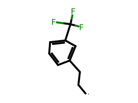 [CH2]CCc1cccc(C(F)(F)F)c1